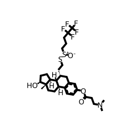 CN(C)CCC(=O)Oc1ccc2c(c1)C[C@@H](CCS[S+]([O-])CCCC(F)(F)C(F)(F)F)[C@@H]1[C@@H]2CC[C@]2(C)[C@@H](O)CC[C@@H]12